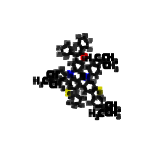 CC(C)(C)c1ccc(N2B3c4cc5oc(-c6ccccc6)c(-c6ccccc6)c5cc4-n4c5ccc(C(C)(C)C)cc5c5c6sc7ccccc7c6c(c3c54)-c3cc4c(cc32)sc2cc(C(C)(C)C)ccc24)cc1